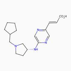 O=C(O)C=Cc1cnc(N[C@@H]2CCN(CC3CCCC3)C2)cn1